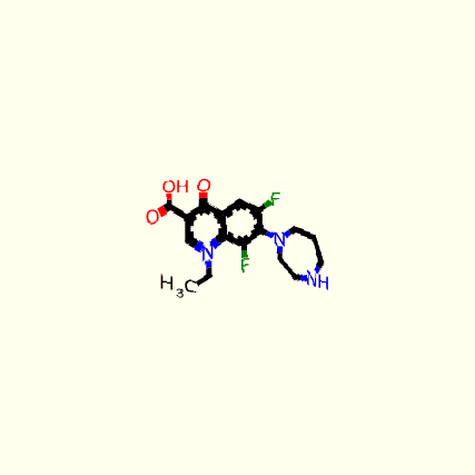 CCn1cc(C(=O)O)c(=O)c2cc(F)c(N3CCCNCC3)c(F)c21